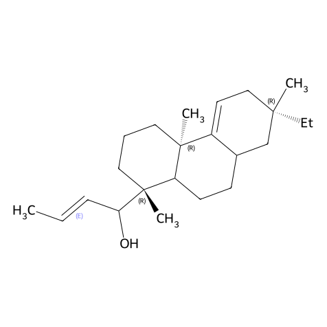 C/C=C/C(O)[C@]1(C)CCC[C@@]2(C)C3=CC[C@](C)(CC)CC3CCC12